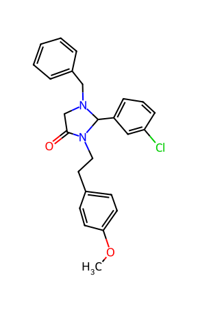 COc1ccc(CCN2C(=O)CN(Cc3ccccc3)C2c2cccc(Cl)c2)cc1